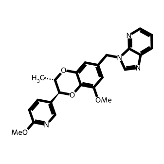 COc1ccc([C@@H]2Oc3c(OC)cc(Cn4cnc5cccnc54)cc3O[C@H]2C)cn1